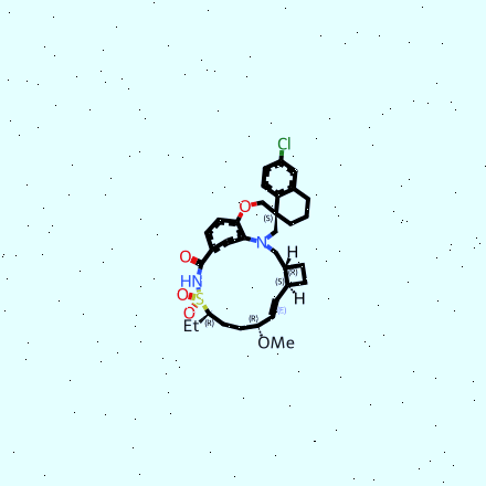 CC[C@@H]1CC[C@@H](OC)/C=C/[C@@H]2CC[C@H]2CN2C[C@@]3(CCCc4cc(Cl)ccc43)COc3ccc(cc32)C(=O)NS1(=O)=O